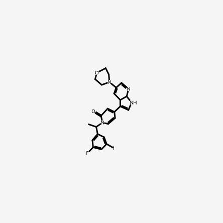 CC(c1cc(F)cc(I)c1)n1ccc(C2=CNC3N=CC(N4CCOCC4)=CC23)cc1=O